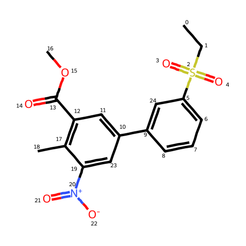 CCS(=O)(=O)c1cccc(-c2cc(C(=O)OC)c(C)c([N+](=O)[O-])c2)c1